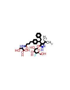 CC(C)c1n[nH]c(O[C@@H]2O[C@H](CO)[C@@H](F)[C@H](O)[C@H]2O)c1C(Cc1ccccc1)c1ccc(CCCC(=O)NC(CO)C(O)O)cc1